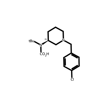 CC(C)(C)N(C(=O)O)[C@H]1CCCN(Cc2ccc(Cl)cc2)C1